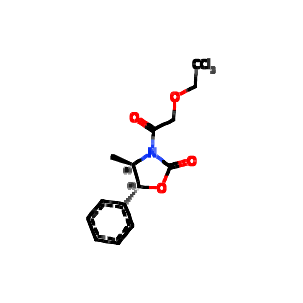 C[C@@H]1[C@@H](c2ccccc2)OC(=O)N1C(=O)COCC(Cl)(Cl)Cl